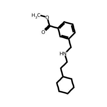 COC(=O)c1cccc(CNCCC2CCCCC2)c1